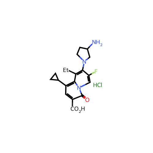 CCc1c(N2CCC(N)C2)c(F)cn2c(=O)c(C(=O)O)cc(C3CC3)c12.Cl